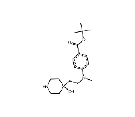 CN(CCC1(O)CCNCC1)c1ccc(C(=O)OC(C)(C)C)cc1